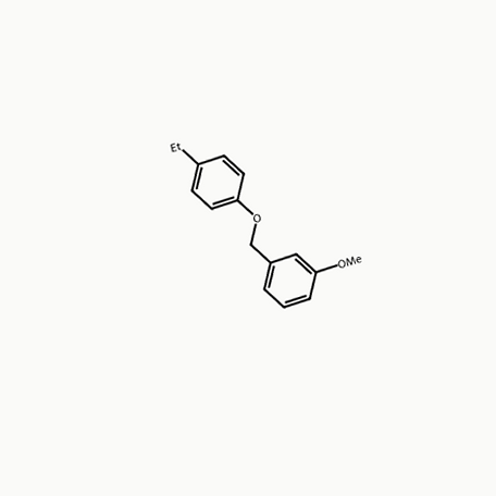 CCc1ccc(OCc2cccc(OC)c2)cc1